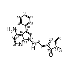 C=C1S/C(=C\CPn2cc(-c3ccccc3)c3c(N)ncnc32)C(=O)C1C